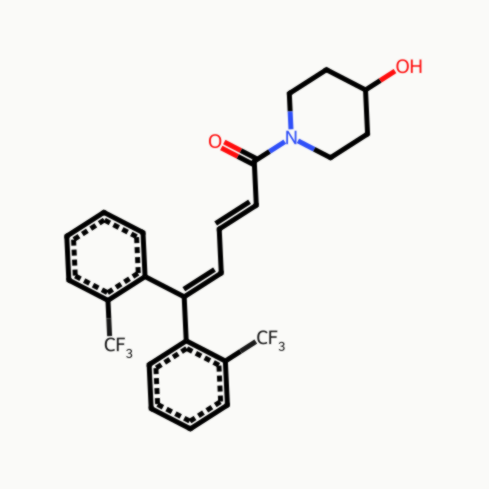 O=C(C=CC=C(c1ccccc1C(F)(F)F)c1ccccc1C(F)(F)F)N1CCC(O)CC1